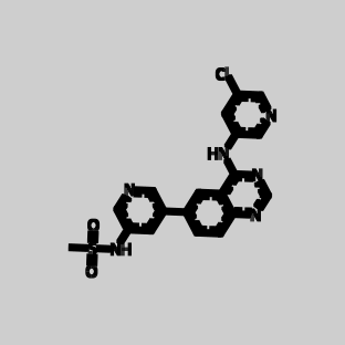 CS(=O)(=O)Nc1cncc(-c2ccc3ncnc(Nc4cncc(Cl)c4)c3c2)c1